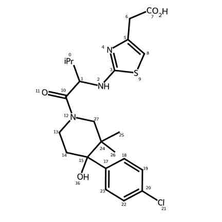 CC(C)C(Nc1nc(CC(=O)O)cs1)C(=O)N1CCC(O)(c2ccc(Cl)cc2)C(C)(C)C1